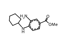 COC(=O)c1ccc(NC2CCCCC2)c(N)c1